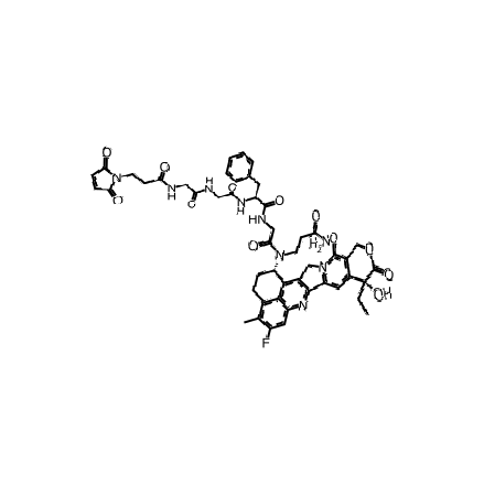 CC[C@@]1(O)C(=O)OCc2c1cc1n(c2=O)Cc2c-1nc1cc(F)c(C)c3c1c2[C@@H](N(CCC(N)=O)C(=O)CNC(=O)[C@H](Cc1ccccc1)NC(=O)CNC(=O)CNC(=O)CCN1C(=O)C=CC1=O)CC3